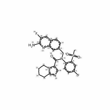 CS(=O)(=O)c1cc(F)ccc1N(Cc1ccc2cc(F)c(N)nc2c1)C(=O)c1cnc2n1CCCC2